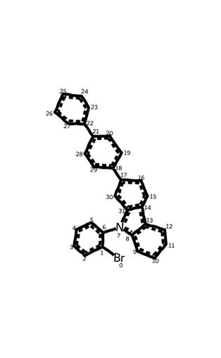 Brc1ccccc1-n1c2ccccc2c2ccc(-c3ccc(-c4ccccc4)cc3)cc21